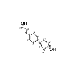 Cc1cc(-c2ccc(C=CCO)cc2)ccc1O